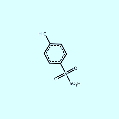 Cc1ccc(S(=O)(=O)S(=O)(=O)O)cc1